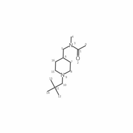 CC(=O)N(C)CC1CCN(CC(C)(C)C)CC1